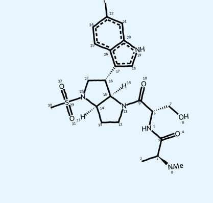 CN[C@@H](C)C(=O)N[C@@H](CO)C(=O)N1CC[C@@H]2[C@H]1[C@@H](c1c[nH]c3cc(F)ccc13)CN2S(C)(=O)=O